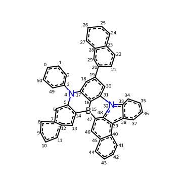 c1ccc(N2c3cc4ccccc4cc3B3c4c2cc(-c2ccc5ccccc5c2)cc4-n2c4ccccc4c4c5ccccc5cc3c42)cc1